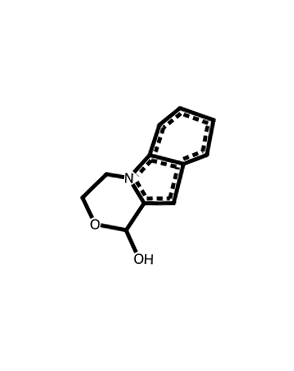 OC1OCCn2c1cc1ccccc12